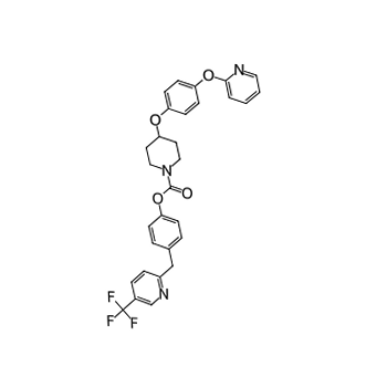 O=C(Oc1ccc(Cc2ccc(C(F)(F)F)cn2)cc1)N1CCC(Oc2ccc(Oc3ccccn3)cc2)CC1